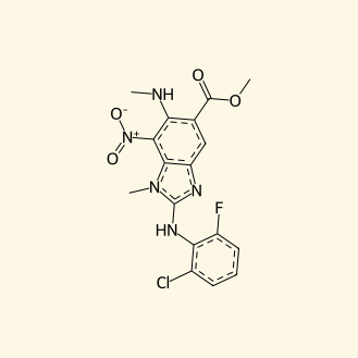 CNc1c(C(=O)OC)cc2nc(Nc3c(F)cccc3Cl)n(C)c2c1[N+](=O)[O-]